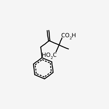 C=C(Cc1ccccc1)C(C)(C(=O)O)C(=O)O